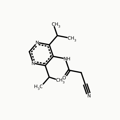 CC(C)c1ncnc(C(C)C)c1NC(=O)CC#N